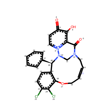 O=C1c2c(O)c(=O)ccn2N2CN1C/C=C\COc1c(ccc(Cl)c1Cl)[C@H]2c1ccccc1